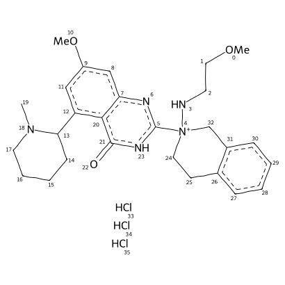 COCCN[N+]1(c2nc3cc(OC)cc(C4CCCCN4C)c3c(=O)[nH]2)CCc2ccccc2C1.Cl.Cl.Cl